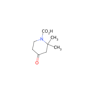 CC1(C)CC(=O)CCN1C(=O)O